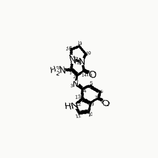 Nc1c(N=C2C=CC(=O)c3cc[nH]c32)c(=O)n2n1CCC2